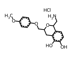 COc1ccc(OCC2Cc3c(ccc(O)c3O)C(CN)O2)cc1.Cl